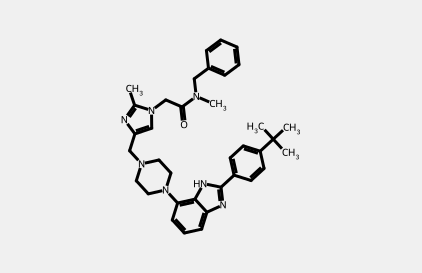 Cc1nc(CN2CCN(c3cccc4nc(-c5ccc(C(C)(C)C)cc5)[nH]c34)CC2)cn1CC(=O)N(C)Cc1ccccc1